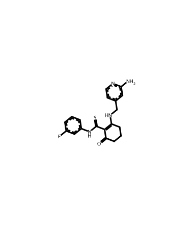 Nc1cc(CNC2=C(C(=S)Nc3cccc(F)c3)C(=O)CCC2)ccn1